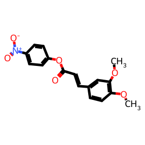 COc1ccc(C=CC(=O)Oc2ccc([N+](=O)[O-])cc2)cc1OC